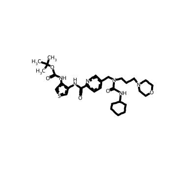 CC(C)(C)OC(=O)Nc1cscc1NC(=O)c1ccc(CN(CCCN2CCOCC2)C(=O)NC2CCCCC2)cn1